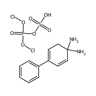 NC1(N)C=CC(c2ccccc2)=CC1.O=P(OCl)(OCl)OS(=O)(=O)O